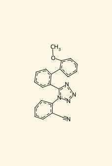 COc1ccccc1-c1ccccc1-c1nnnn1-c1ccccc1C#N